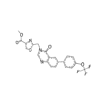 COC(=O)c1coc(Cn2cnc3ccc(-c4ccc(OC(F)(F)F)cc4)cc3c2=O)n1